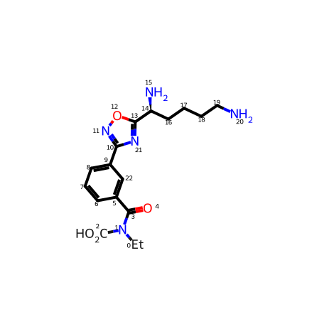 CCN(C(=O)O)C(=O)c1cccc(-c2noc([C@@H](N)CCCCN)n2)c1